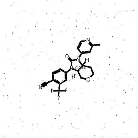 Cc1cc(N2C(=O)N(c3ccc(C#N)c(C(F)(F)F)c3)[C@@H]3COCC[C@H]32)ccn1